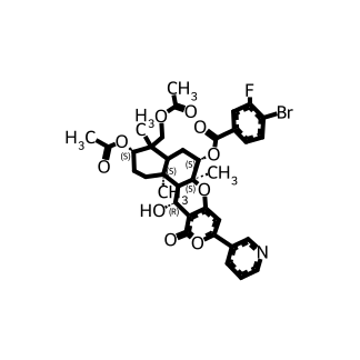 CC(=O)OCC1(C)C2C[C@H](OC(=O)c3ccc(Br)c(F)c3)[C@@]3(C)Oc4cc(-c5cccnc5)oc(=O)c4[C@H](O)C3[C@@]2(C)CC[C@@H]1OC(C)=O